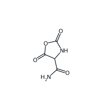 NC(=O)C1NC(=O)OC1=O